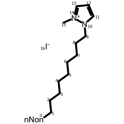 CCCCCCCCCCCCCCCCCCn1ccc[n+]1C.[I-]